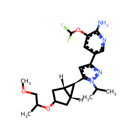 COCC(C)OC1C[C@@H]2[C@H](C1)[C@H]2c1cc(-c2cnc(N)c(OC(F)F)c2)nn1C(C)C